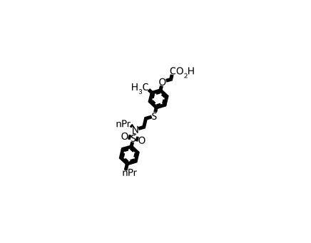 CCCc1ccc(S(=O)(=O)N(CCC)CCSc2ccc(OCC(=O)O)c(C)c2)cc1